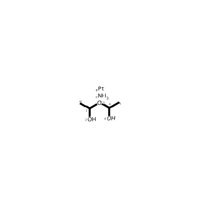 CC(O)OC(C)O.N.[Pt]